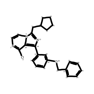 Clc1nccn2c(CC3CCCC3)nc(-c3cccc(OCc4ccccc4)c3)c12